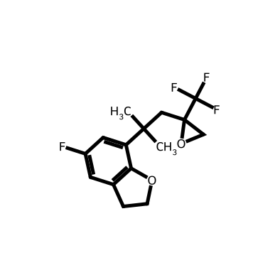 CC(C)(CC1(C(F)(F)F)CO1)c1cc(F)cc2c1OCC2